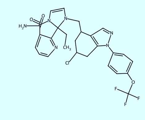 CCC1(c2ncccc2C(N)=O)N(C=O)C=CN1CC1CC(Cl)Cc2c1cnn2-c1ccc(OC(F)(F)F)cc1